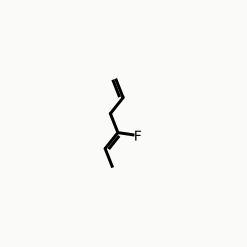 C=CCC(F)=CC